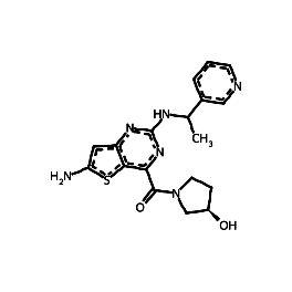 CC(Nc1nc(C(=O)N2CC[C@@H](O)C2)c2sc(N)cc2n1)c1cccnc1